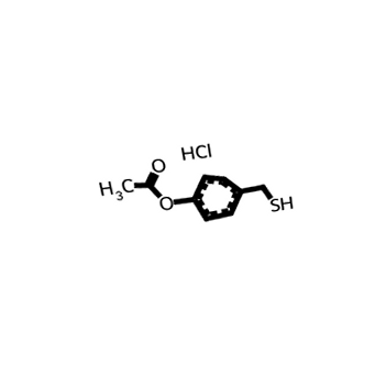 CC(=O)Oc1ccc(CS)cc1.Cl